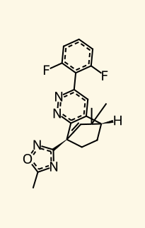 Cc1nc([C@@]23C=CC(C)(C)[C@@H](CC2)c2cc(-c4c(F)cccc4F)nnc23)no1